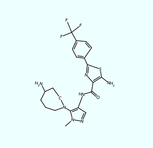 Cn1ncc(NC(=O)c2nc(-c3ccc(C(F)(F)F)cc3)sc2N)c1N1CCCC(N)CC1